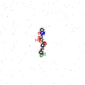 O=C(CC(CCn1nnc2ccccc2c1=O)C(=O)O)c1coc2cc(OCc3ccc(Cl)c(Cl)c3)ccc12